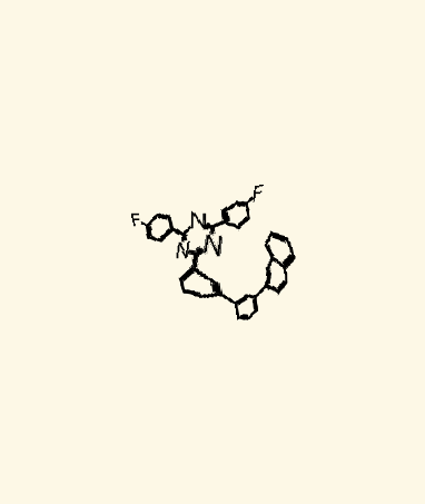 Fc1ccc(-c2nc(-c3ccc(F)cc3)nc(-c3cccc(-c4cccc(-c5ccc6ccccc6c5)c4)c3)n2)cc1